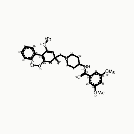 CCOC1=CC(F)(CN2CCC(NC(=O)c3cc(OC)cc(OC)c3)CC2)CC(OCC)=C1c1ccccc1